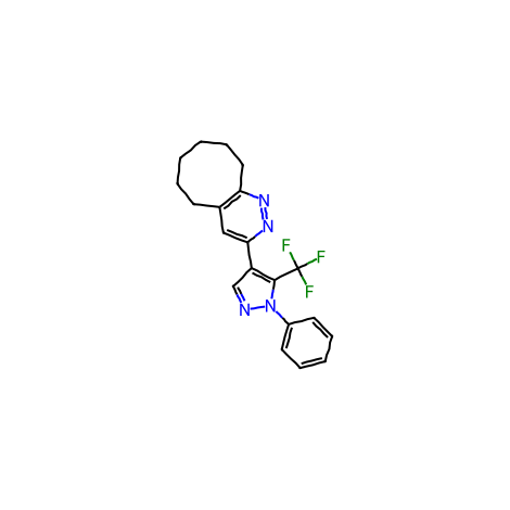 FC(F)(F)c1c(-c2cc3c(nn2)CCCCCC3)cnn1-c1ccccc1